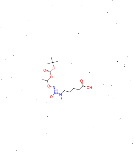 CC(O/N=[N+](\[O-])N(C)CCCCC(=O)O)OC(=O)OC(C)(C)C